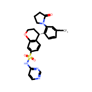 O=C1CCCN1c1cc(C(F)(F)F)ccc1[C@H]1CCOc2cc(S(=O)(=O)Nc3ccncn3)ccc21